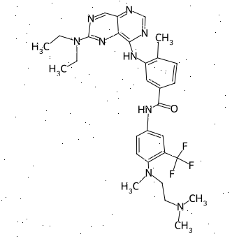 CCN(CC)c1ncc2ncnc(Nc3cc(C(=O)Nc4ccc(N(C)CCN(C)C)c(C(F)(F)F)c4)ccc3C)c2n1